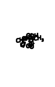 Cc1cc([N+](=O)[O-])cc([N+](=O)[O-])c1O.O=C(Cl)c1ccccc1